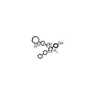 C=C(N[C@@H](CC(=O)N1CCC(N2CC/C=C\C=C/CNC2=O)CC1)C(=O)N1CCC(N2CCCCC2)CC1)c1ccc(O)cc1